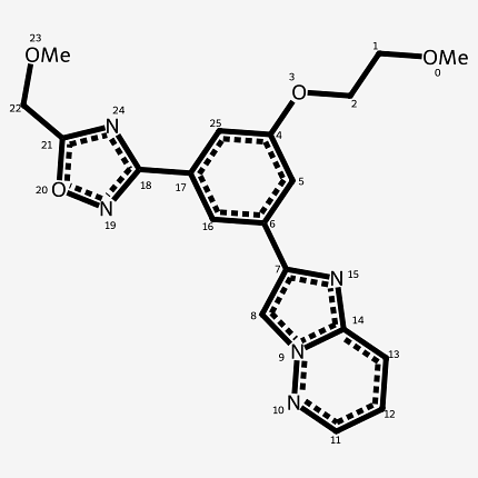 COCCOc1cc(-c2cn3ncccc3n2)cc(-c2noc(COC)n2)c1